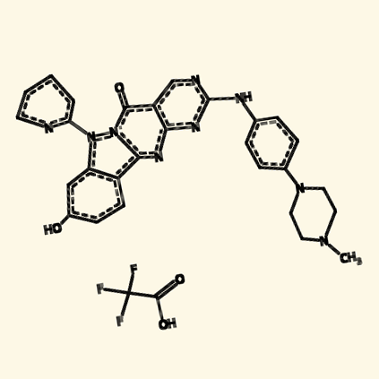 CN1CCN(c2ccc(Nc3ncc4c(=O)n5c(nc4n3)c3ccc(O)cc3n5-c3ccccn3)cc2)CC1.O=C(O)C(F)(F)F